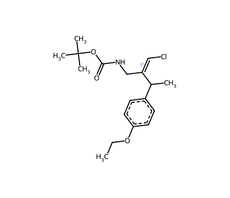 CCOc1ccc(C(C)/C(=C\Cl)CNC(=O)OC(C)(C)C)cc1